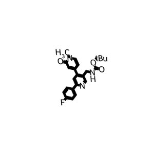 Cn1ccc(-c2cc(-c3ccc(F)cc3)ncc2CNC(=O)OC(C)(C)C)cc1=O